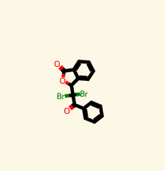 O=C1OC(C(Br)(Br)C(=O)c2ccccc2)c2ccccc21